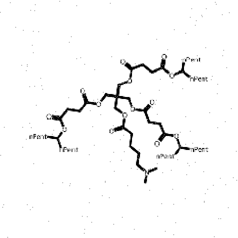 CCCCCC(CCCCC)OC(=O)CCC(=O)OCC(COC(=O)CCCCN(C)C)(COC(=O)CCC(=O)OC(CCCCC)CCCCC)COC(=O)CCC(=O)OC(CCCCC)CCCCC